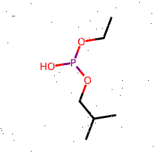 CCOP(O)OCC(C)C